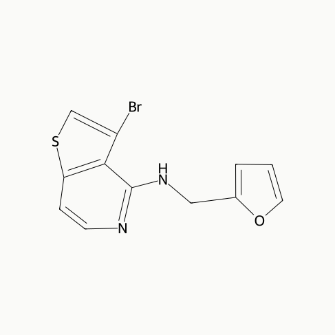 Brc1csc2ccnc(NCc3ccco3)c12